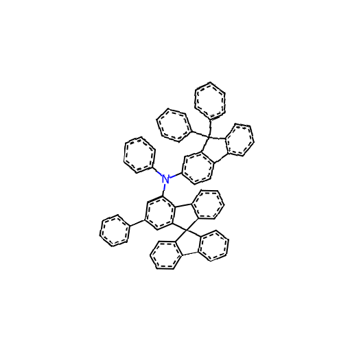 c1ccc(-c2cc(N(c3ccccc3)c3ccc4c(c3)C(c3ccccc3)(c3ccccc3)c3ccccc3-4)c3c(c2)C2(c4ccccc4-c4ccccc42)c2ccccc2-3)cc1